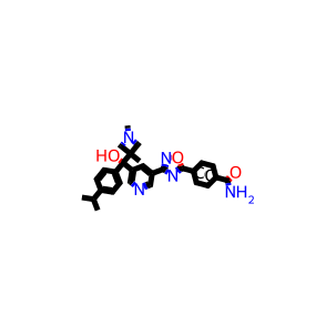 CC(C)c1ccc(C(O)(c2cncc(-c3noc(C45CCC(C(N)=O)(CC4)CC5)n3)c2)C2(C)CN(C)C2)cc1